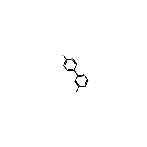 FC(F)(F)c1ccc(-c2cc(Cl)ccn2)cc1